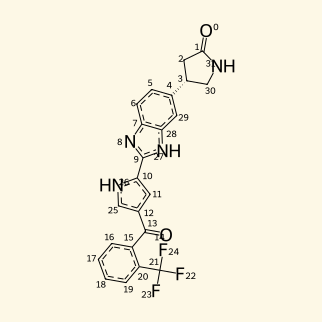 O=C1C[C@@H](c2ccc3nc(-c4cc(C(=O)c5ccccc5C(F)(F)F)c[nH]4)[nH]c3c2)CN1